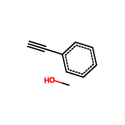 C#Cc1ccccc1.CO